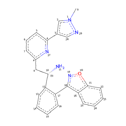 Cn1cc(-c2cccc(C[C@H](N)c3ccccc3-c3noc4ccccc34)n2)cn1